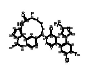 C[C@@H]1CCC[C@H](n2cnc(-c3cc(Cl)c(F)cc3-n3cc(C(F)(F)F)nn3)cc2=O)c2cc(ccn2)-c2c(cnn2C(F)F)NC1=O